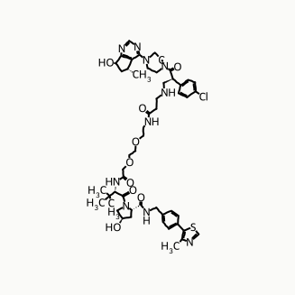 Cc1ncsc1-c1ccc(CNC(=O)[C@@H]2C[C@@H](O)CN2C(=O)[C@@H](NC(=O)COCCOCCNC(=O)CCNC[C@@H](C(=O)N2CCN(c3ncnc4c3[C@H](C)C[C@H]4O)CC2)c2ccc(Cl)cc2)C(C)(C)C)cc1